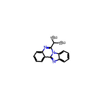 CC(C)(C)C(c1nc2ccccc2c2nc3ccccc3n12)C(C)(C)C